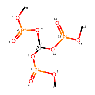 CO[P+](=O)[O][Al]([O][P+](=O)OC)[O][P+](=O)OC